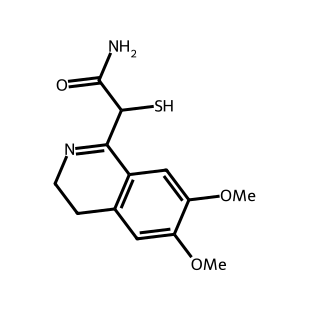 COc1cc2c(cc1OC)C(C(S)C(N)=O)=NCC2